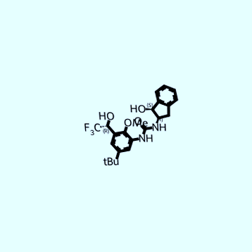 COc1c(NC(=O)N[C@@H]2Cc3ccccc3[C@@H]2O)cc(C(C)(C)C)cc1[C@@H](O)C(F)(F)F